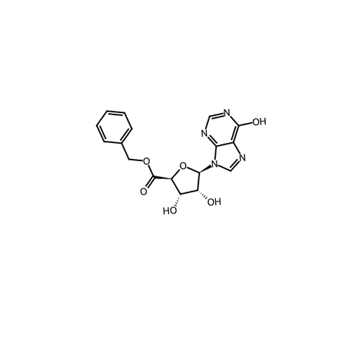 O=C(OCc1ccccc1)[C@H]1O[C@@H](n2cnc3c(O)ncnc32)[C@H](O)[C@@H]1O